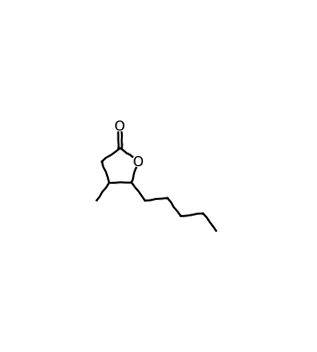 CCCCCC1OC(=O)CC1C